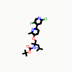 Cc1nc(-c2cc(Cl)ncc2F)ccc1OCC(C)(CC(C)C)NC(=O)OC(C)(C)C